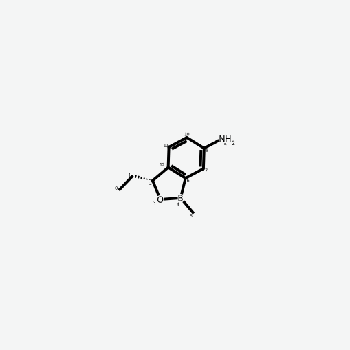 CC[C@H]1OB(C)c2cc(N)ccc21